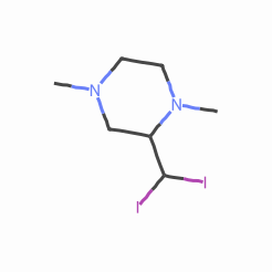 CN1CCN(C)C(C(I)I)C1